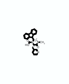 CN(C)C(=O)[C@H](Cc1cccnc1)N(CC1c2ccccc2-c2ccccc21)C(=O)O